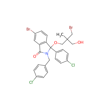 CC(CO)(CBr)COC1(c2ccc(Cl)cc2)c2ccc(Br)cc2C(=O)N1Cc1ccc(Cl)cc1